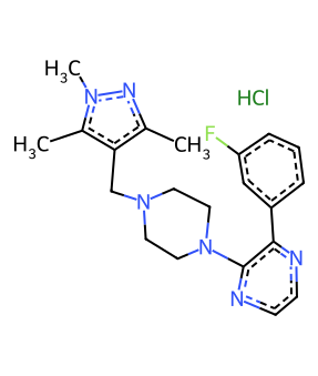 Cc1nn(C)c(C)c1CN1CCN(c2nccnc2-c2cccc(F)c2)CC1.Cl